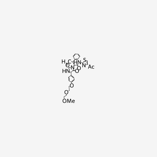 COCCOCCOc1ccc(C2NC(=O)N([C@H](C(=O)Nc3nc(C(C)=O)cs3)[C@@H](C)c3ccccc3)C2=O)cc1